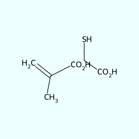 C=C(C)C(=O)O.O=C(O)CS